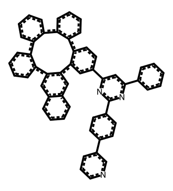 c1ccc(-c2cc(-c3ccc4c5ccccc5c5ccccc5c5ccccc5c5cc6ccccc6cc5c4c3)nc(-c3ccc(-c4cccnc4)cc3)n2)cc1